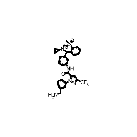 CN(C1CC1)C(c1cccc(NC(=O)c2cc(C(F)(F)F)nn2-c2cccc(CN)c2)c1)c1ccccc1S(C)(=O)=O